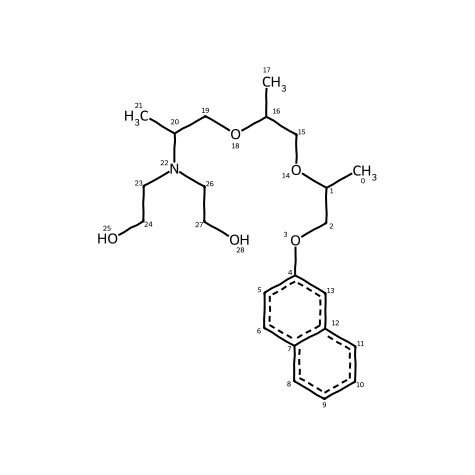 CC(COc1ccc2ccccc2c1)OCC(C)OCC(C)N(CCO)CCO